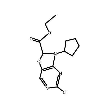 CCOC(=O)C1Oc2cnc(Cl)nc2N1C1CCCC1